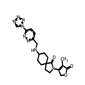 CC1=C(N2CCC3(CCC(NCc4ccc(-n5cnnn5)nn4)CC3)C2=O)COC1=O